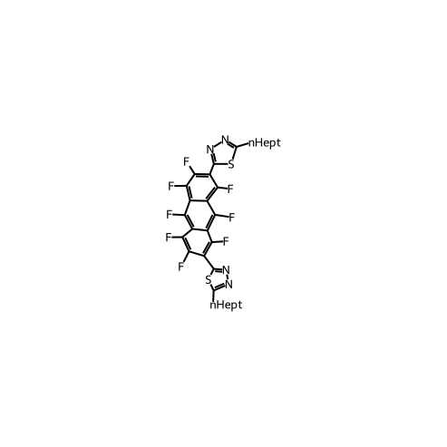 CCCCCCCc1nnc(-c2c(F)c(F)c3c(F)c4c(F)c(F)c(-c5nnc(CCCCCCC)s5)c(F)c4c(F)c3c2F)s1